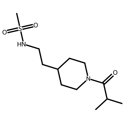 CC(C)C(=O)N1CCC(CCNS(C)(=O)=O)CC1